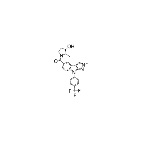 C[C@@H]1[C@@H](O)CCN1C(=O)c1ccc2c(c1)c1cn(C)nc1n2-c1ccc(C(F)(F)F)cc1